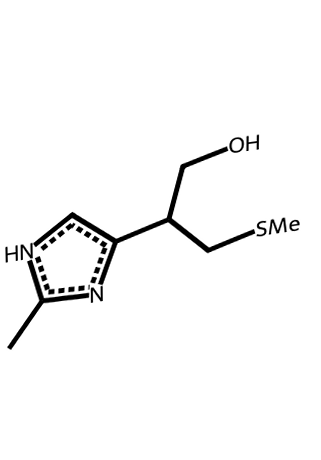 CSCC(CO)c1c[nH]c(C)n1